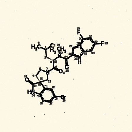 CC(C)C[C@@H](C(=O)N1CC[C@@]2(C1)C(=O)Nc1ccc(Br)cc12)N(C)C(=O)c1cc2c(F)cc(F)cc2[nH]1